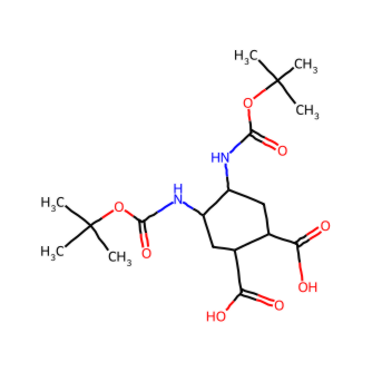 CC(C)(C)OC(=O)NC1CC(C(=O)O)C(C(=O)O)CC1NC(=O)OC(C)(C)C